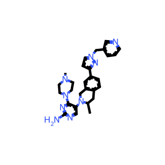 CC1Cc2ccc(-c3ccn(Cc4cccnc4)n3)cc2CN1c1cnc(N)nc1N1CCN(C)CC1